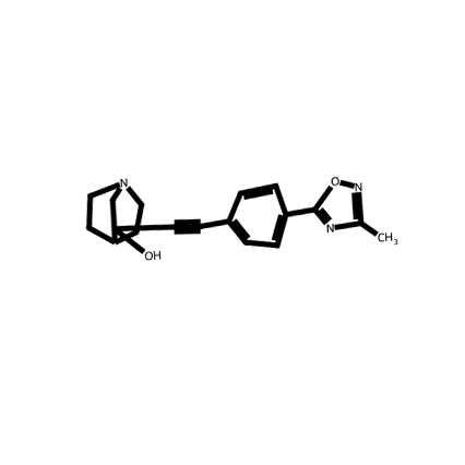 Cc1noc(-c2ccc(C#CC3(O)CN4CCC3CC4)cc2)n1